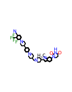 Cn1c(C2CCN(CC3CCN(c4ccc(C5CCN(c6ccc(C#N)c(C(F)(F)F)c6F)CC5)cc4)CC3)CC2)cc2ccc(N3CCC(=O)NC3=O)cc21